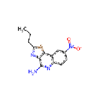 CCCc1nc2c(N)nc3ccc([N+](=O)[O-])cc3c2s1